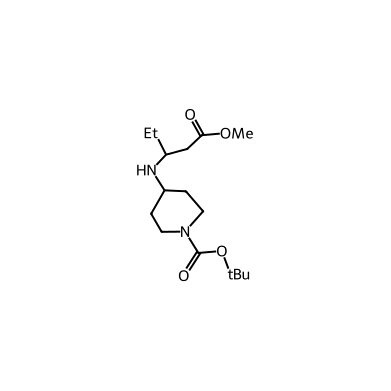 CCC(CC(=O)OC)NC1CCN(C(=O)OC(C)(C)C)CC1